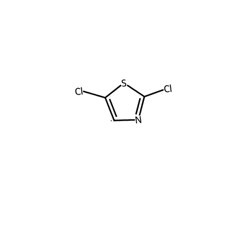 Clc1[c]nc(Cl)s1